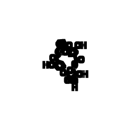 O=C(OC[C@H]1O[C@@H](Oc2ccc(C(=O)/C=C/c3ccccc3)c(O)c2)[C@H](O)[C@@H](O)[C@H]1O)c1cc(O)c(O)c(O)c1